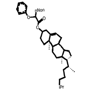 CCCCCCCCCC(Oc1ccccc1)C(=O)OC1CC[C@@]2(C)C(=CCC3C2CC[C@@]2(C)C3CC[C@@H]2[C@H](C)CCCC(C)C)C1